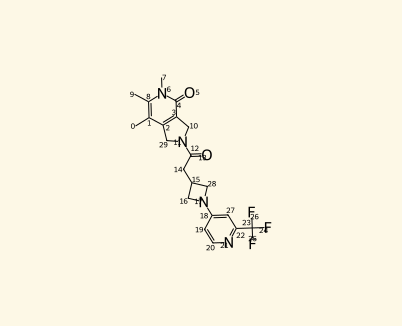 Cc1c2c(c(=O)n(C)c1C)CN(C(=O)CC1CN(c3ccnc(C(F)(F)F)c3)C1)C2